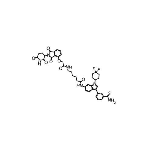 NC(=S)c1cccc(-c2cn(C3CCC(F)(F)CC3)c3cc(NC(=O)CCCCCNC(=O)COc4cccc5c4C(=O)N(C4CCC(=O)NC4=O)C5=O)ccc23)c1